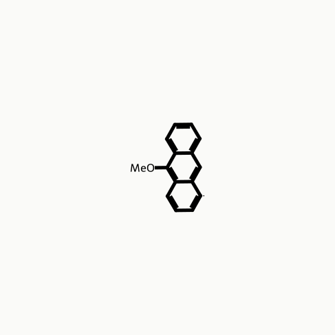 COc1c2ccc[c]c2cc2ccccc12